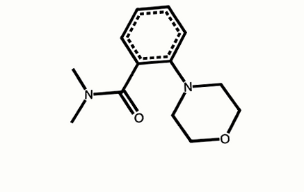 CN(C)C(=O)c1ccccc1N1CCOCC1